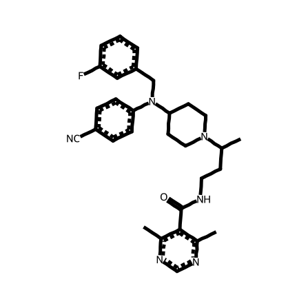 Cc1ncnc(C)c1C(=O)NCCC(C)N1CCC(N(Cc2cccc(F)c2)c2ccc(C#N)cc2)CC1